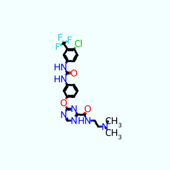 CN(C)CCNC(=O)c1ncnc(Oc2cccc(NC(=O)Nc3ccc(Cl)c(C(F)(F)F)c3)c2)n1